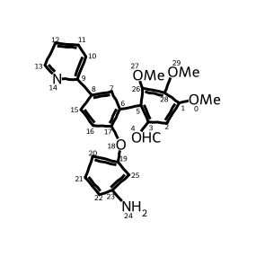 COc1cc(C=O)c(-c2cc(-c3ccccn3)ccc2Oc2cccc(N)c2)c(OC)c1OC